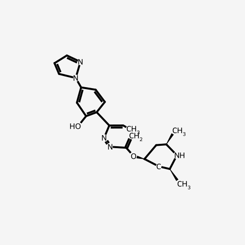 C=C(/N=N\C(=C/C)c1ccc(-n2cccn2)cc1O)O[C@H]1C[C@@H](C)N[C@@H](C)C1